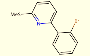 CSc1cccc(-c2ccccc2Br)n1